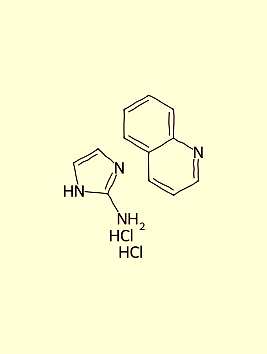 Cl.Cl.Nc1ncc[nH]1.c1ccc2ncccc2c1